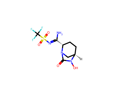 NC(=NS(=O)(=O)C(F)(F)F)[C@@H]1CC[C@@H]2CN1C(=O)N2O